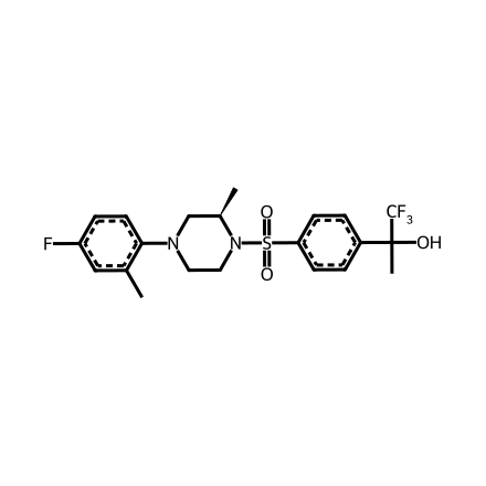 Cc1cc(F)ccc1N1CCN(S(=O)(=O)c2ccc(C(C)(O)C(F)(F)F)cc2)[C@H](C)C1